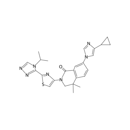 CC(C)n1cnnc1-c1nc(N2CC(C)(C)c3ccc(-n4cnc(C5CC5)c4)cc3C2=O)cs1